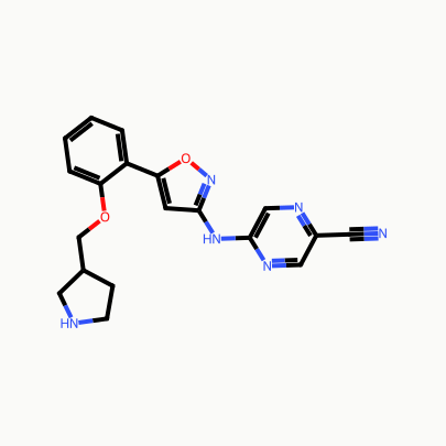 N#Cc1cnc(Nc2cc(-c3ccccc3OCC3CCNC3)on2)cn1